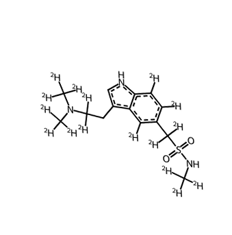 [2H]c1c(C([2H])([2H])S(=O)(=O)NC([2H])([2H])[2H])c([2H])c2c(CC([2H])([2H])N(C([2H])([2H])[2H])C([2H])([2H])[2H])c[nH]c2c1[2H]